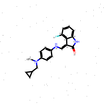 CCCN(CC1CC1)c1ccc(N/C=C2/C(=O)Nc3cccc(F)c32)cc1